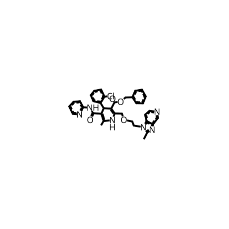 CC1=C(C(=O)Nc2ccccn2)C(c2ccccc2Cl)C(C(=O)OCc2ccccc2)=C(COCCn2c(C)nc3cnccc32)N1